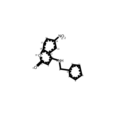 O=c1cc(NCc2ccccc2)c2cc([N+](=O)[O-])ccc2o1